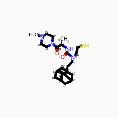 C[C@H](NC(=O)N(CCS)CCC12CC3CC(CC(C3)C1)C2)C(=O)N1CCN(C)CC1